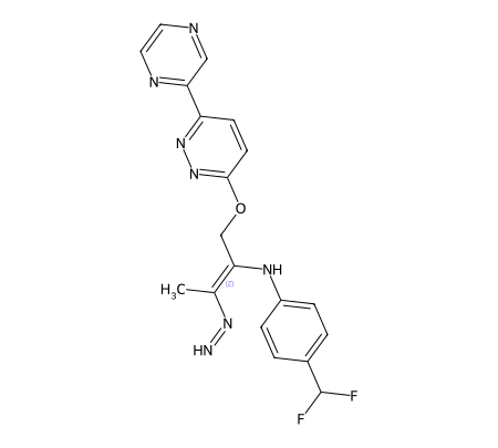 C/C(N=N)=C(\COc1ccc(-c2cnccn2)nn1)Nc1ccc(C(F)F)cc1